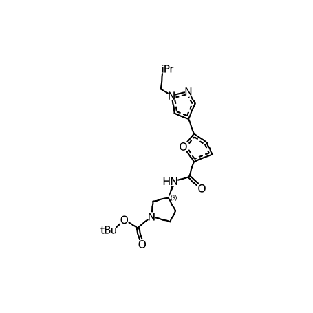 CC(C)Cn1cc(-c2ccc(C(=O)N[C@H]3CCN(C(=O)OC(C)(C)C)C3)o2)cn1